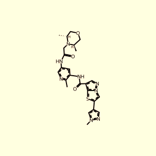 Cc1ncc(NC(=O)CN2[C@H](C)COC[C@H]2C)cc1NC(=O)c1cnn2cc(-c3cnn(C)c3)sc12